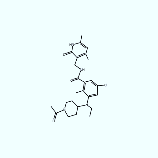 CCN(c1cc(Cl)cc(C(=O)NCc2c(C)cc(C)[nH]c2=O)c1C)C1CCN(C(C)=O)CC1